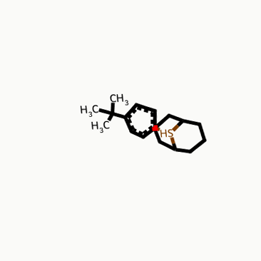 CC(C)(C)c1ccc([SH]2C3CCCC2CCC3)cc1